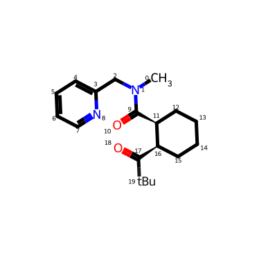 CN(Cc1ccccn1)C(=O)[C@H]1CCCC[C@H]1C(=O)C(C)(C)C